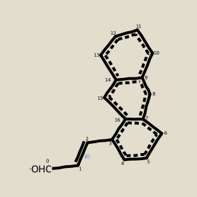 O=[C]/C=C/c1cccc2cc3ccccc3cc12